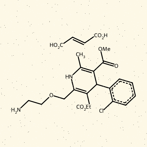 CCOC(=O)C1=C(COCCN)NC(C)=C(C(=O)OC)C1c1ccccc1Cl.O=C(O)/C=C/C(=O)O